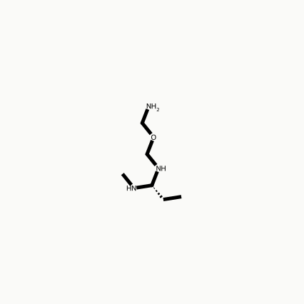 CC[C@H](NC)NCOCN